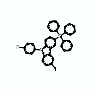 Fc1ccc(-n2c3ccc(I)cc3c3cc([Si](c4ccccc4)(c4ccccc4)c4ccccc4)ccc32)cc1